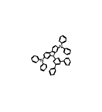 c1ccc(-c2cc(-c3ccccc3)cc(C3c4cc(N(c5ccccc5)c5ccccc5)ccc4-c4ccc(N(c5ccccc5)c5ccccc5)cc43)c2)cc1